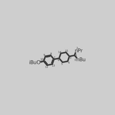 CCCCC(CCC)C1CCC(c2ccc(OCC(C)C)cc2)CC1